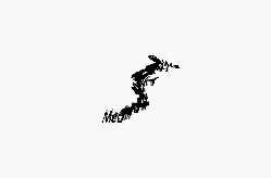 CNC(=O)c1cc2ccc(Nc3nccc(-c4cc(OCCCOC)ccn4)n3)cc2[nH]1